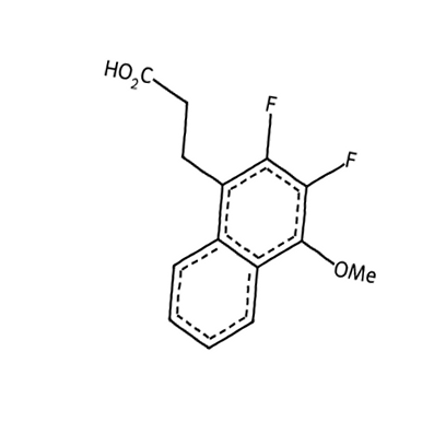 COc1c(F)c(F)c(CCC(=O)O)c2ccccc12